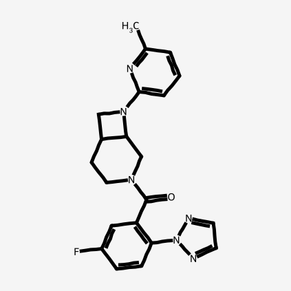 Cc1cccc(N2CC3CCN(C(=O)c4cc(F)ccc4-n4nccn4)CC32)n1